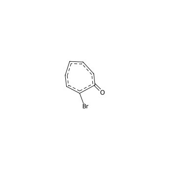 O=c1cccccc1Br